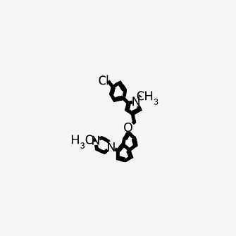 CN1CCN(c2cccc3ccc(OCc4cc(-c5ccc(Cl)cc5)n(C)c4)cc23)CC1